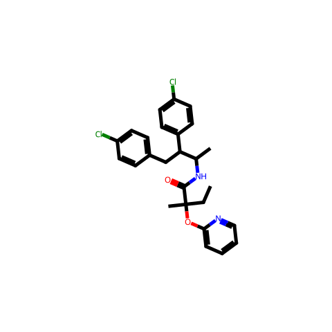 CCC(C)(Oc1ccccn1)C(=O)NC(C)C(Cc1ccc(Cl)cc1)c1ccc(Cl)cc1